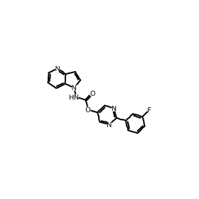 O=C(Nn1ccc2ncccc21)Oc1cnc(-c2cccc(F)c2)nc1